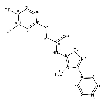 Cc1c(-c2ccncc2)n[nH]c1NC(=O)CCc1ccc(F)c(F)c1